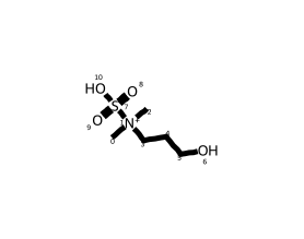 C[N+](C)(CCCO)S(=O)(=O)O